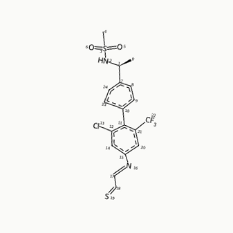 C[C@H](NS(C)(=O)=O)c1ccc(-c2c(Cl)cc(N=CC=S)cc2C(F)(F)F)cc1